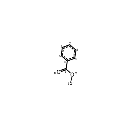 O=C(O[S])c1ccccc1